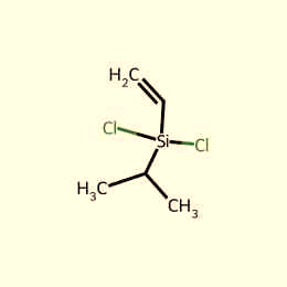 C=C[Si](Cl)(Cl)C(C)C